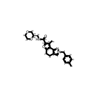 Cc1ccc(Cn2cc3c(n2)-c2c(oc(C(=O)NC[C@@H]4COCCO4)c2C)CC3)cc1